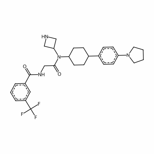 O=C(NCC(=O)N(C1CCC(c2ccc(N3CCCC3)cc2)CC1)C1CNC1)c1cccc(C(F)(F)F)c1